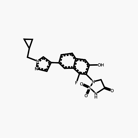 O=C1CN(c2c(O)cc3ccc(-c4cnn(CC5CC5)c4)cc3c2F)S(=O)(=O)N1